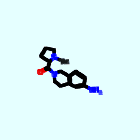 CC(=O)N1CCCC1C(=O)N1CCc2cc(N)ccc2C1